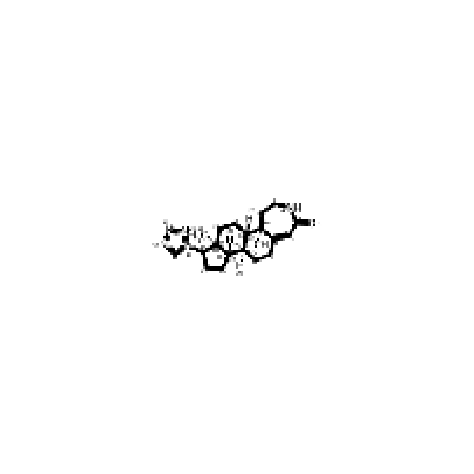 C[C@]12CCNC(=O)C=C1CC[C@@H]1[C@@H]2CC[C@]2(C)C(n3cnnn3)CC[C@@H]12